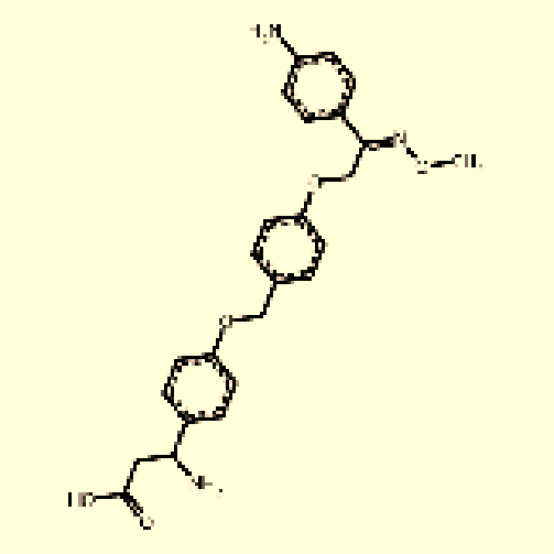 CO/N=C(\COc1ccc(COc2ccc(C(N)CC(=O)O)cc2)cc1)c1ccc(N)cc1